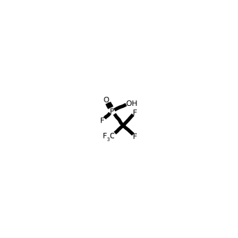 O=P(O)(F)C(F)(F)C(F)(F)F